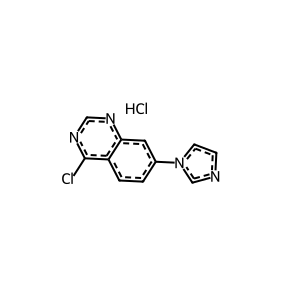 Cl.Clc1ncnc2cc(-n3ccnc3)ccc12